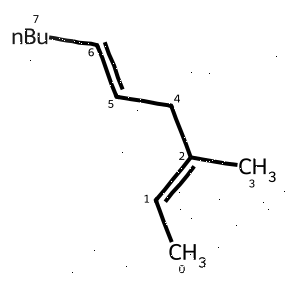 CC=C(C)CC=CCCCC